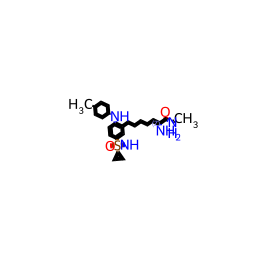 CNC(=O)/C(N)=C/CCCCc1cc(S(=N)(=O)C2CC2)ccc1N[C@H]1CC[C@H](C)CC1